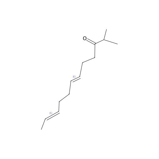 C/C=C/CC/C=C/CCC(=O)C(C)C